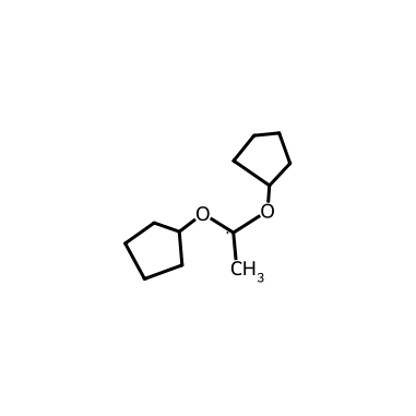 C[C](OC1CCCC1)OC1CCCC1